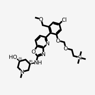 COCc1cc(Cl)cc(OCOCC[Si](C)(C)C)c1-c1ccc2oc(N[C@@H]3C[C@H](O)CN(C)C3)nc2n1